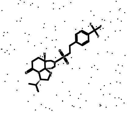 CC(C)[C@H]1CO[C@]23CCN(S(=O)(=O)CCc4ccc(C(F)(F)F)cc4)C[C@H]2CCC(=O)N13